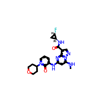 CNc1cc(Nc2cccn(C3CCOCC3)c2=O)nc2c(C(=O)N[C@@H]3C[C@@H]3F)cnn12